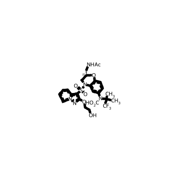 CC(=O)NC[C@H]1CN(S(=O)(=O)c2c(OCCO)nn3ccccc23)c2cc(N(C(=O)O)C(C)(C)C(F)(F)F)ccc2O1